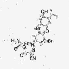 C=C(C)c1cc(Oc2c(Br)cc(N(CC)N=C(C#N)C(=O)OC(N)=O)cc2Br)ccc1O